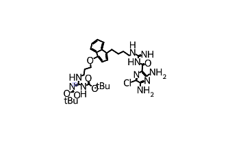 CC(C)(C)OC(=O)/N=C(/NCCCOc1ccc(CCCCNC(=N)NC(=O)c2nc(Cl)c(N)nc2N)c2ccccc12)NC(=O)OC(C)(C)C